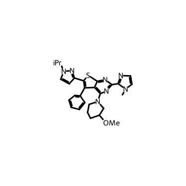 COC1CCCN(c2nc(-c3nccn3C)nc3sc(-c4ccn(C(C)C)n4)c(-c4ccccc4)c23)C1